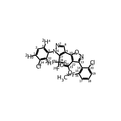 [2H]c1cc([2H])c(-n2ncc(-c3onc(-c4c(F)cccc4Cl)c3C(=O)OC)c2C(F)(F)F)c([2H])c1Cl